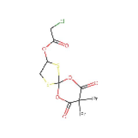 CC(C)C1(C(C)C)C(=O)OC2(OC1=O)SCC(OC(=O)CCl)S2